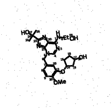 CCNc1ncn(Cc2ccc(OC)c(OC3CCC(O)C3)c2)c2nc(C(C)(C)O)nc1-2.Cl